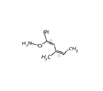 C/C=C(C)\C=C(/ON)C(C)C